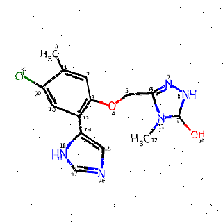 Cc1cc(OCC2=NNC(O)N2C)c(-c2cnc[nH]2)cc1Cl